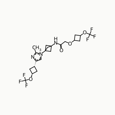 Cc1nc([C@H]2C[C@H](OC(F)(F)F)C2)cn1C12CC(NC(=O)COC3CC(OC(F)(F)F)C3)(C1)C2